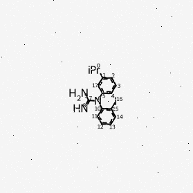 CC(C)c1cccc(N(C(=N)N)c2ccccc2I)c1